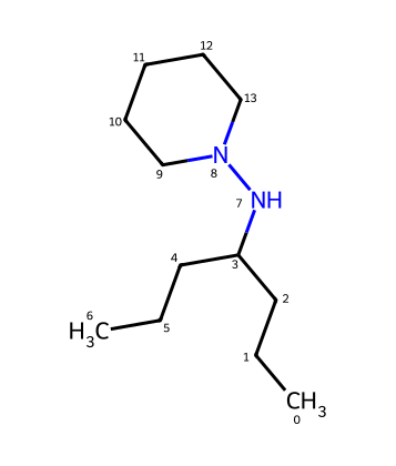 CCCC(CCC)NN1CCCCC1